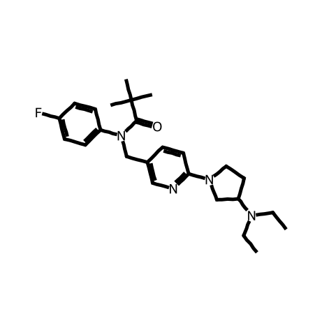 CCN(CC)C1CCN(c2ccc(CN(C(=O)C(C)(C)C)c3ccc(F)cc3)cn2)C1